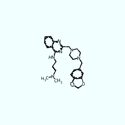 CN(C)CCCNc1nc(CN2CCN(Cc3ccc4c(c3)OCO4)CC2)nc2ccccc12